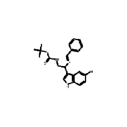 CC(C)(C)OC(=O)NCC(N=Cc1ccccc1)c1c[nH]c2ccc(Br)cc12